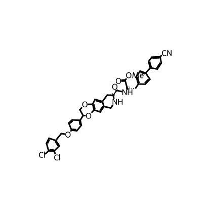 COC(=O)[C@H](Cc1ccc(-c2ccc(C#N)cc2)cc1)NC(=O)[C@@H]1Cc2cc3c(cc2CN1)OC(c1ccc(OCc2ccc(Cl)c(Cl)c2)cc1)CO3